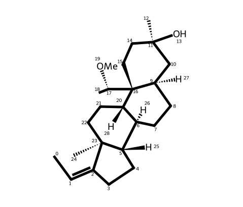 C/C=C1/CC[C@H]2[C@@H]3CC[C@@H]4C[C@](C)(O)CC[C@]4([C@H](C)OC)[C@H]3CC[C@]12C